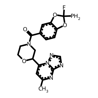 Cc1cc(C2CN(C(=O)c3ccc4c(c3)OC(F)(P)O4)CCO2)n2ncnc2n1